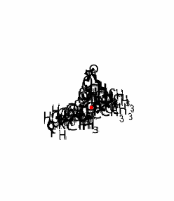 CC[C@H](C)[C@@H]([C@@H](CC(=O)N1[C@H]2C[C@H]2C[C@H]1[C@H](OC)[C@@H](C)C(=O)N[C@@H](Cc1ccccc1F)C(=O)O)OC)N(C)C(=O)[C@@H](NC(=O)[C@H](C(C)C)N(C)C(=O)CCCCCN1C(=O)C=CC1=O)C(C)C